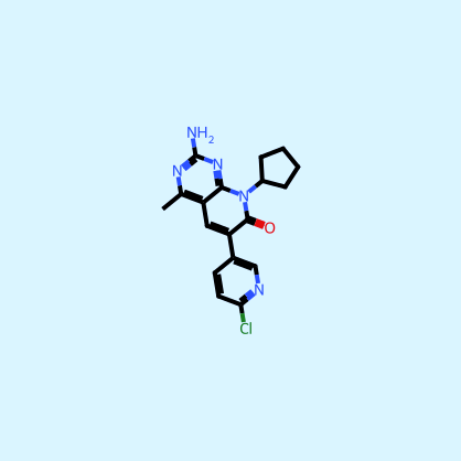 Cc1nc(N)nc2c1cc(-c1ccc(Cl)nc1)c(=O)n2C1CCCC1